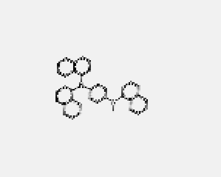 CN(c1ccc(N(c2cccc3ccccc23)c2cccc3ccccc23)cc1)c1cccc2ccccc12